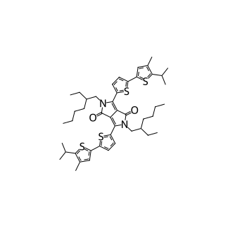 CCCCC(CC)CN1C(=O)C2=C(c3ccc(-c4cc(C)c(C(C)C)s4)s3)N(CC(CC)CCCC)C(=O)C2=C1c1ccc(-c2cc(C)c(C(C)C)s2)s1